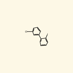 Clc1cc[c]c(-c2ccccc2I)c1